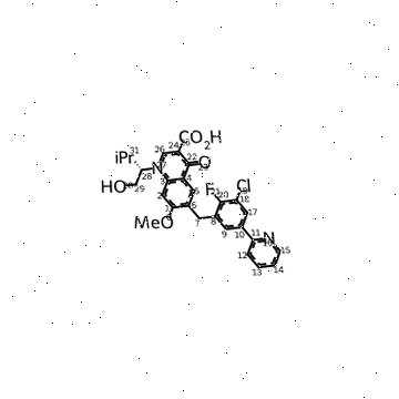 COc1cc2c(cc1Cc1cc(-c3ccccn3)cc(Cl)c1F)c(=O)c(C(=O)O)cn2[C@H](CO)C(C)C